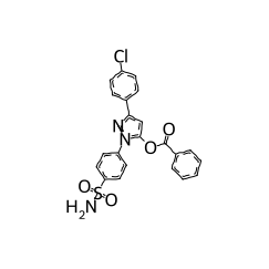 NS(=O)(=O)c1ccc(-n2nc(-c3ccc(Cl)cc3)cc2OC(=O)c2ccccc2)cc1